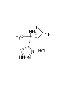 CC(N)(CC(F)F)c1c[nH]nn1.Cl